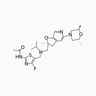 CC(=O)Nc1nc(F)c(CN(C[C@]2(C)Cc3cc(N4C[C@@H](C)O[C@H](C)C4)ncc3O2)C(C)C)s1